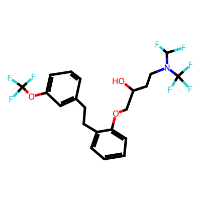 OC(CCN(C(F)F)C(F)(F)F)COc1ccccc1CCc1cccc(OC(F)(F)F)c1